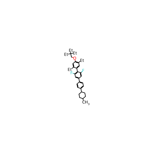 CCc1cc(-c2c(F)cc(-c3ccc(C4CCC(C)CC4)cc3)cc2F)c(CC)cc1OCC(CC)(CC)CC